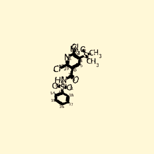 CS(C)(C)c1cc(C(=O)NS(=O)(=O)c2ccccc2)c(Cl)nc1Cl